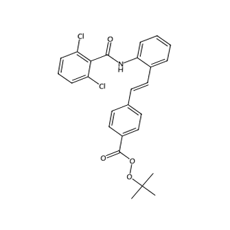 CC(C)(C)OOC(=O)c1ccc(C=Cc2ccccc2NC(=O)c2c(Cl)cccc2Cl)cc1